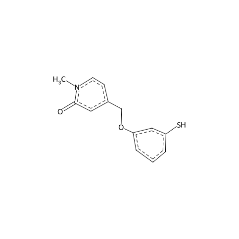 Cn1ccc(COc2cccc(S)c2)cc1=O